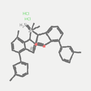 CC1=Cc2c(-c3cccc(C)c3)ccc(C)c2[CH]1[Zr]([CH3])([CH3])(=[SiH2])[CH]1C(C(C)C)=Cc2c(-c3cccc(C)c3)cccc21.Cl.Cl